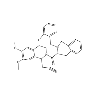 COc1cc2c(cc1OC)C(CC#N)N(C(=O)C1Cc3ccccc3CN1Cc1ccccc1F)CC2